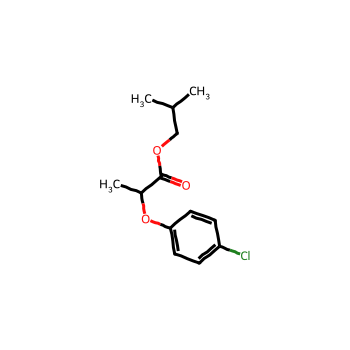 CC(C)COC(=O)C(C)Oc1ccc(Cl)cc1